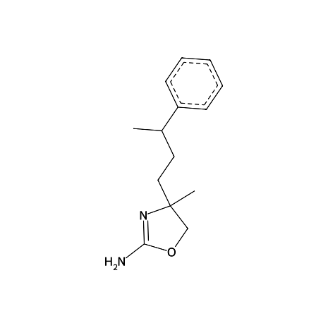 CC(CCC1(C)COC(N)=N1)c1ccccc1